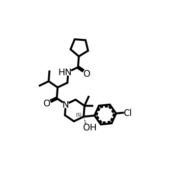 CC(C)C(CNC(=O)C1CCCC1)C(=O)N1CC[C@](O)(c2ccc(Cl)cc2)C(C)(C)C1